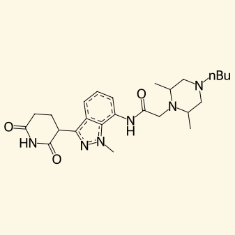 CCCCN1CC(C)N(CC(=O)Nc2cccc3c(C4CCC(=O)NC4=O)nn(C)c23)C(C)C1